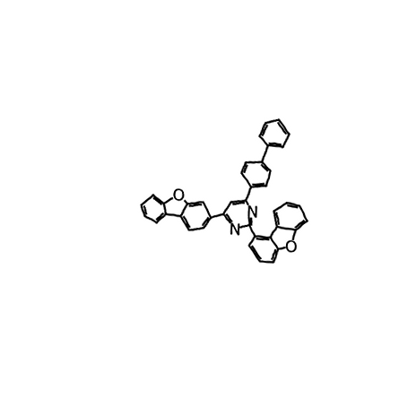 c1ccc(-c2ccc(-c3cc(-c4ccc5c(c4)oc4ccccc45)nc(-c4cccc5oc6ccccc6c45)n3)cc2)cc1